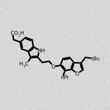 CCCc1c(OCCc2[nH]c3ccc(CC(=O)O)cc3c2C)ccc2c(CC(C)(C)C)coc12